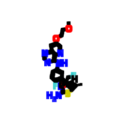 COCCOc1cnc2c(Nc3ccc(F)c([C@@]4(CF)N=C(N)S[C@]5(COC)[C@H]4[C@@H]5C)c3)ncnc2c1